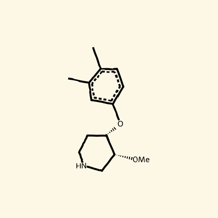 CO[C@@H]1CNCC[C@@H]1Oc1ccc(C)c(C)c1